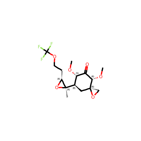 CO[C@@H]1C(=O)[C@H](OC)[C@]2(CO2)C[C@H]1[C@@]1(C)O[C@@H]1CCOC(F)(F)F